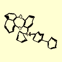 c1ccc(-c2ccc(N(c3ccccc3)c3cccc4c3Oc3cccc5cccc(c35)O4)cc2)cc1